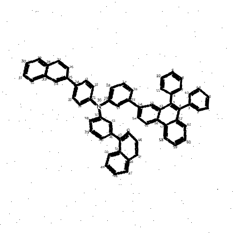 c1ccc(-c2c(-c3ccccc3)c3cc(-c4cccc(N(c5ccc(-c6ccc7ccccc7c6)cc5)c5cccc(-c6cccc7ccccc67)c5)c4)ccc3c3ccccc23)cc1